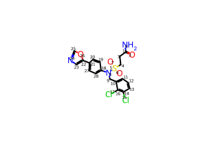 NC(=O)CCS(=O)(=O)N(Cc1cccc(Cl)c1Cl)c1ccc(-c2cnco2)cc1